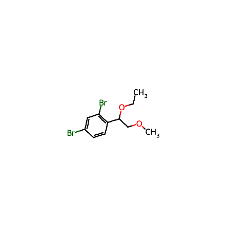 CCOC(COC)c1ccc(Br)cc1Br